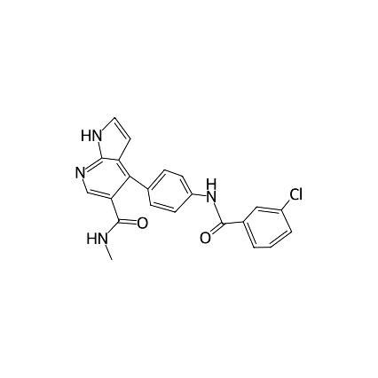 CNC(=O)c1cnc2[nH]ccc2c1-c1ccc(NC(=O)c2cccc(Cl)c2)cc1